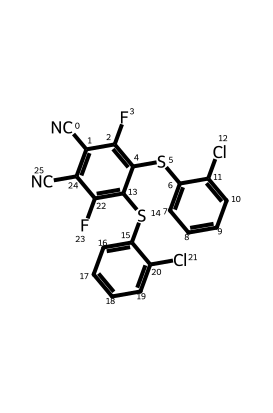 N#Cc1c(F)c(Sc2ccccc2Cl)c(Sc2ccccc2Cl)c(F)c1C#N